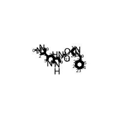 Cn1cc(-c2cnc3[nH]cc(NC(=O)Oc4cnn(Cc5ccccc5)c4)c3c2)cn1